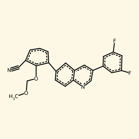 COCOc1c(C#N)cccc1-c1ccc2ncc(-c3cc(F)cc(F)c3)cc2c1